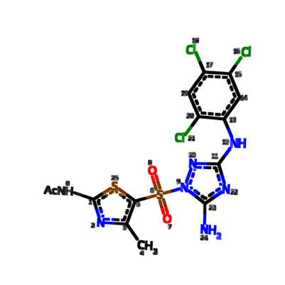 CC(=O)Nc1nc(C)c(S(=O)(=O)n2nc(Nc3cc(Cl)c(Cl)cc3Cl)nc2N)s1